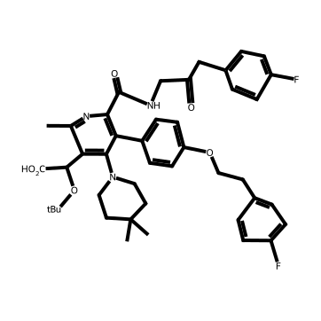 Cc1nc(C(=O)NCC(=O)Cc2ccc(F)cc2)c(-c2ccc(OCCc3ccc(F)cc3)cc2)c(N2CCC(C)(C)CC2)c1C(OC(C)(C)C)C(=O)O